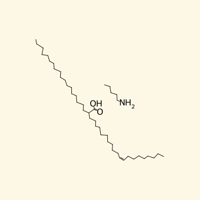 CCCCCCCC/C=C\CCCCCCCCCCC(CCCCCCCCCCCCCCCCCC)C(=O)O.CCCCCN